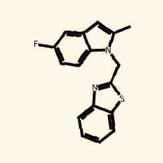 Cc1[c]c2cc(F)ccc2n1Cc1nc2ccccc2s1